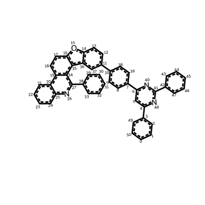 c1ccc(-c2cc(-c3ccc(-c4ccc5oc6ccc7c8ccccc8nc(-c8ccccc8)c7c6c5c4)cc3)nc(-c3ccccc3)n2)cc1